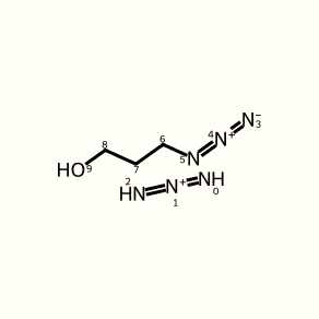 N=[N+]=N.[N-]=[N+]=NCCCO